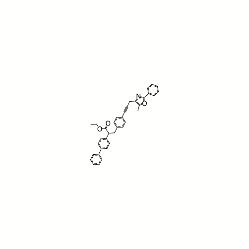 CCOC(=O)C(Cc1ccc(C#CCc2nc(-c3ccccc3)oc2C)cc1)c1ccc(-c2ccccc2)cc1